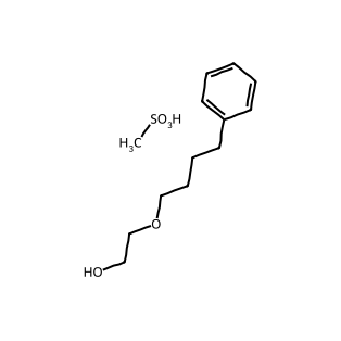 CS(=O)(=O)O.OCCOCCCCc1ccccc1